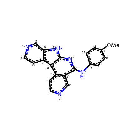 COc1ccc(Nc2nc3[nH]c4cnccc4c3c3ccncc23)cc1